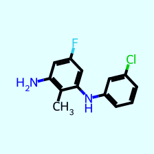 Cc1c(N)cc(F)cc1Nc1cccc(Cl)c1